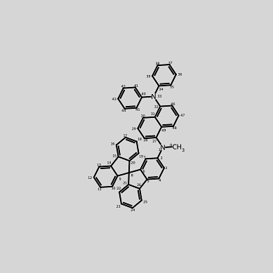 CN(c1ccc2c(c1)C1(c3ccccc3-c3ccccc31)c1ccccc1-2)c1cccc2c(N(c3ccccc3)c3ccccc3)cccc12